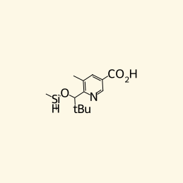 Cc1cc(C(=O)O)cnc1C(O[SiH](C)C)C(C)(C)C